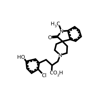 CN1C(=O)C2(CCN(CC(Cc3cc(O)ccc3Cl)C(=O)O)CC2)c2ccccc21